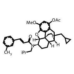 COc1cc(OC(C)=O)c2c3c1O[C@H]1[C@H](N(CC(C)C)C(=O)C=Cc4cccc(C)c4)CC[C@H]4[C@@H](C2)N(CC2CC2)CC[C@@]341